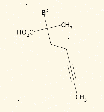 CC#CCCC(C)(Br)C(=O)O